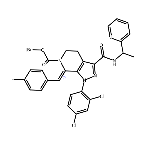 CC(NC(=O)c1nn(-c2ccc(Cl)cc2Cl)c2c1CCN(C(=O)OC(C)(C)C)/C2=C\c1ccc(F)cc1)c1ccccn1